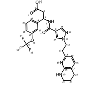 O=C(O)CC(NC(=O)c1cnn(CCc2ccc3c(n2)NCCC3)c1)c1cccc(OC(F)(F)F)c1